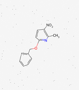 Cc1nc(OCc2ccccc2)ccc1[N+](=O)[O-]